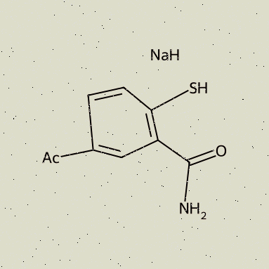 CC(=O)c1ccc(S)c(C(N)=O)c1.[NaH]